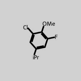 COc1c(F)cc(C(C)C)cc1Cl